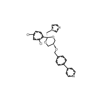 Clc1ccc([C@]2(Cn3ccnc3)OC[C@H](OCc3ccc(-c4ccncc4)cc3)CO2)c(Cl)c1